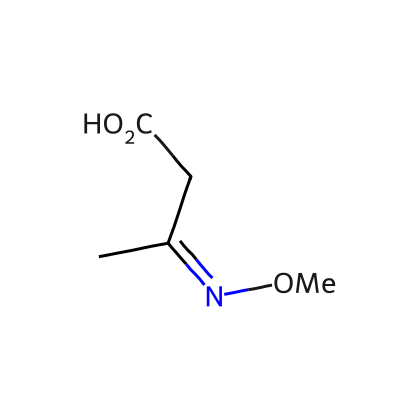 CON=C(C)CC(=O)O